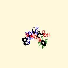 CC(NC(=O)C(=O)Nc1cccc2cccnc12)C(=O)NC(CCC(=O)O)C(=O)COc1c(F)c(F)cc(F)c1F